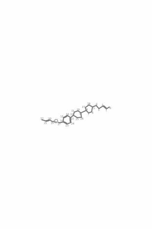 CC=CCCC1CCC(C2CCC(c3ccc(COCC=CC)cc3)CC2)CC1